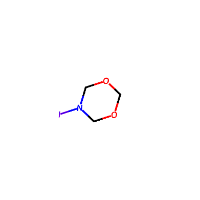 IN1COCOC1